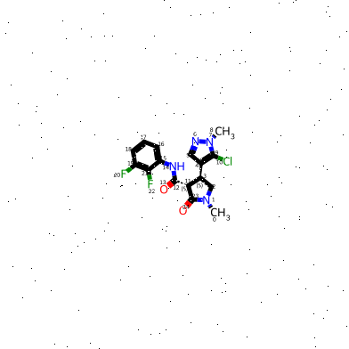 CN1C[C@H](c2cnn(C)c2Cl)[C@@H](C(=O)Nc2cccc(F)c2F)C1=O